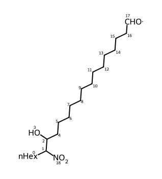 CCCCCCC(C(O)CCCCCCCCCCCCC[C]=O)[N+](=O)[O-]